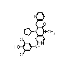 CN1C(=O)C(Cc2ccccn2)N(C2CCCC2)c2nc(Nc3cc(Cl)c(O)c(Cl)c3)ncc21